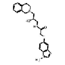 Cn1cnc2cc(OCC(=O)NCC(O)CN3CCc4ccccc4C3)ccc21